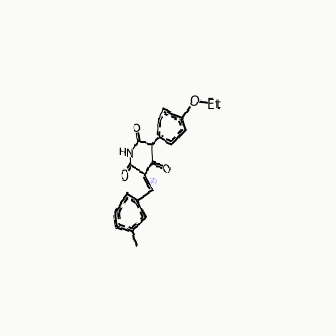 CCOc1ccc(C2C(=O)NC(=O)/C(=C\c3cccc(C)c3)C2=O)cc1